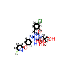 O=c1[nH]/c(=N\c2ccc(Oc3cccc(F)n3)cc2)n(Cc2ccc(Cl)cc2)c(=O)n1CC(O)(CO)CO